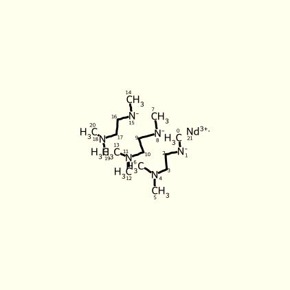 C[N-]CCN(C)C.C[N-]CCN(C)C.C[N-]CCN(C)C.[Nd+3]